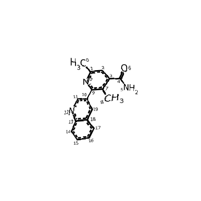 Cc1cc(C(N)=O)c(C)c(-c2cnc3ccccc3c2)n1